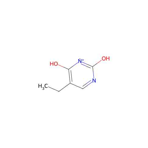 CCC1=C(O)[N+]=C(O)N=C1